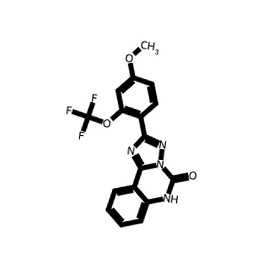 COc1ccc(-c2nc3c4ccccc4[nH]c(=O)n3n2)c(OC(F)(F)F)c1